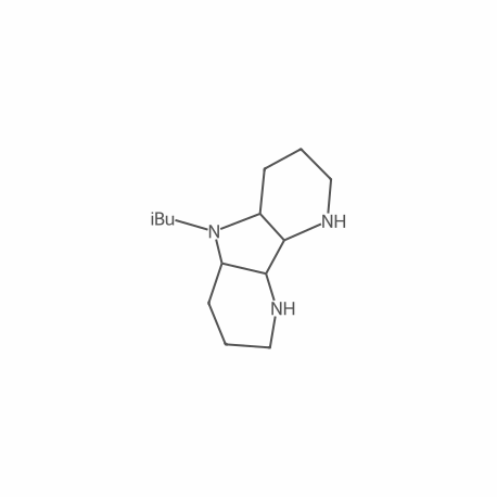 CCC(C)N1C2CCCNC2C2NCCCC21